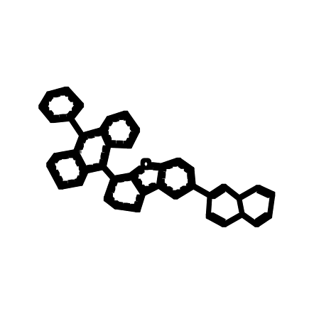 C1=CC2C=CC(c3ccc4oc5c(-c6c7ccccc7c(-c7ccccc7)c7ccccc67)cccc5c4c3)=CC2C=C1